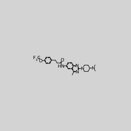 Cc1nc(N2CCC(N(C)C)CC2)nc2ccc(NC(=O)CCc3ccc(OC(F)(F)F)cc3)cc12